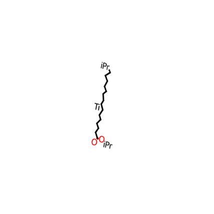 CC(C)CCCCCCCCCCCCCCC(=O)OC(C)C.[Ti]